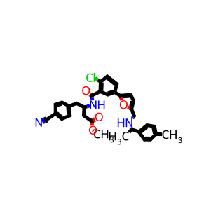 COC(=O)CC(Cc1ccc(C#N)cc1)NC(=O)c1cc(-c2ccc(CNC(C)c3ccc(C)cc3)o2)ccc1Cl